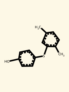 Cc1ccc(C)c(Sc2ccc(O)cc2)c1